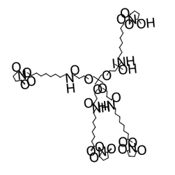 O=C(CCOCC(COCCC(=O)NCCCCCCCC(=O)ON1C(=O)CCC1=O)(COCCC(=O)NCCCCCCCC(=O)ON1C(=O)CCC1=O)COCCC(O)(I)NCCCCCCCC(=O)ON1C(=O)CCC1O)NCCCCCCCC(=O)ON1C(=O)CCC1=O